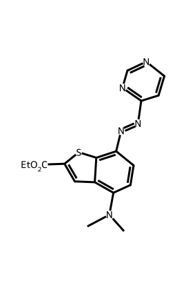 CCOC(=O)c1cc2c(N(C)C)ccc(/N=N/c3ccncn3)c2s1